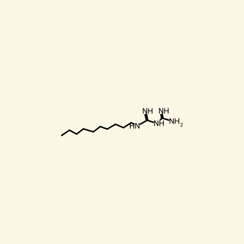 CCCCCCCCCCNC(=N)NC(=N)N